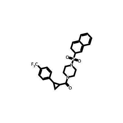 O=C(C1CC1c1ccc(C(F)(F)F)cc1)N1CCN(S(=O)(=O)C2C=c3ccccc3=CC2)CC1